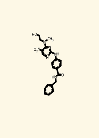 CN(CCO)c1nc(Nc2ccc(C(=O)NCc3ccccc3)cc2)ncc1[N+](=O)[O-]